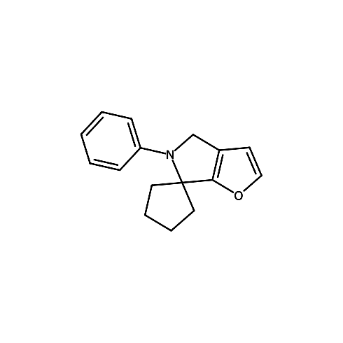 c1ccc(N2Cc3ccoc3C23CCCC3)cc1